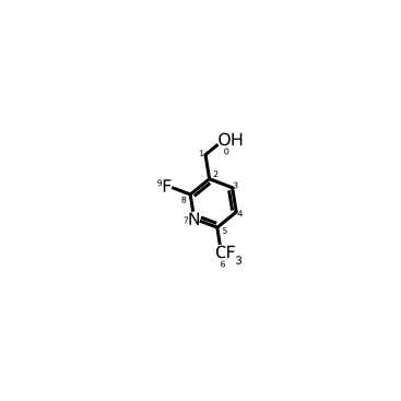 OCc1ccc(C(F)(F)F)nc1F